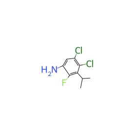 CC(C)c1c(F)c(N)cc(Cl)c1Cl